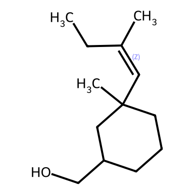 CC/C(C)=C\C1(C)CCCC(CO)C1